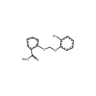 COC(=O)c1ccccc1OCOc1ccccc1C(C)=O